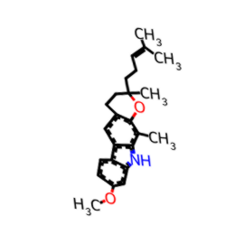 COc1ccc2c(c1)[nH]c1c(C)c3c(cc12)CCC(C)(CCC=C(C)C)O3